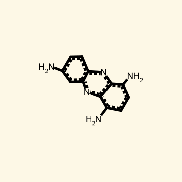 Nc1ccc2nc3c(N)ccc(N)c3nc2c1